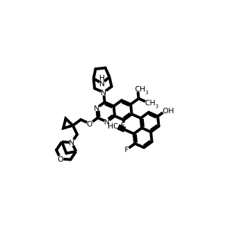 C#Cc1c(F)ccc2cc(O)cc(-c3c(C(C)C)cc4c(N5CC6CCC(C5)N6)nc(OCC5(CN6C7COCC6C7)CC5)nc4c3F)c12